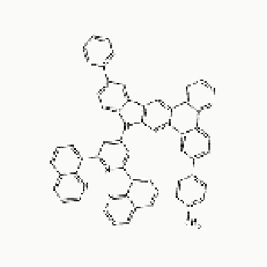 Cc1ccc(-c2ccc3c4ccccc4c4cc5c6cc(-c7ccccc7)ccc6n(-c6cc(-c7cccc8cccnc78)nc(-c7cccc8cccnc78)c6)c5cc4c3c2)cc1